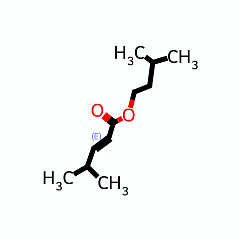 CC(C)/C=C/C(=O)OCCC(C)C